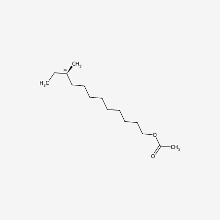 CC[C@@H](C)CCCCCCCCCOC(C)=O